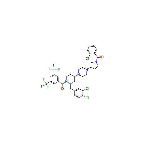 O=C(c1ccccc1Cl)N1CCC(N2CCN(C3CCN(C(=O)c4cc(C(F)(F)F)cc(C(F)(F)F)c4)C(Cc4ccc(Cl)c(Cl)c4)C3)CC2)C1